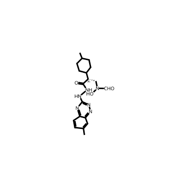 Cc1ccc2nc(NNC(=O)[C@@H](CN(O)C=O)C3CCC(C)CC3)nnc2c1